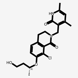 Cc1cc(C)c(CN2CCc3ccc(O[C@H](C)CCO)c(Cl)c3C2=O)c(=O)[nH]1